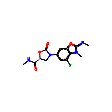 C/N=c1/oc2cc(N3C[C@H](C(=O)NC)OC3=O)cc(F)c2n1C